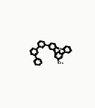 CC(C)(C)c1cc2c3ccccc3n3c4ccc(-c5cccc(-c6cccc(-c7ccccc7)c6)c5)cc4c(c1)c23